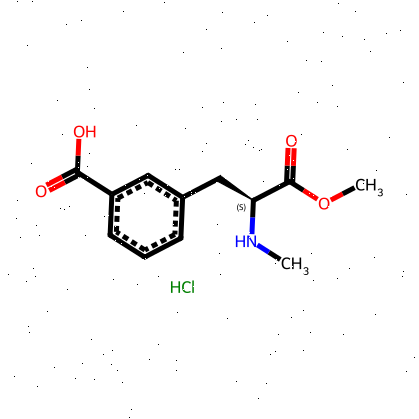 CN[C@@H](Cc1cccc(C(=O)O)c1)C(=O)OC.Cl